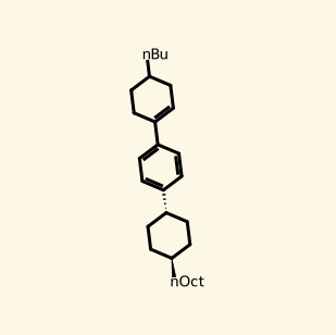 CCCCCCCC[C@H]1CC[C@H](c2ccc(C3=CCC(CCCC)CC3)cc2)CC1